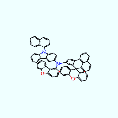 c1ccc2c(c1)Oc1ccccc1C21c2cc(N(c3ccc4c(c3)c3ccccc3n4-c3cccc4ccccc34)c3cccc4oc5ccccc5c34)ccc2-c2cccc3cccc1c23